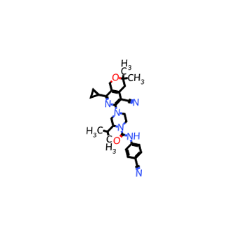 CC(C)C1CN(c2nc(C3CC3)c3c(c2C#N)CC(C)(C)OC3)CCN1C(=O)Nc1ccc(C#N)cc1